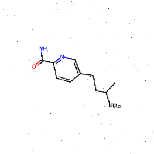 CNC(C)CCc1ccc(C(N)=O)nc1